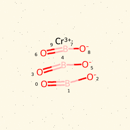 O=B[O-].O=B[O-].O=B[O-].[Cr+3]